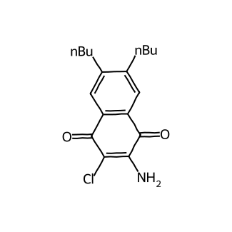 CCCCc1cc2c(cc1CCCC)C(=O)C(Cl)=C(N)C2=O